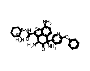 Nc1ccc2c3c(c(C(=O)N[C@@H]4CCCC[C@@H]4N)sc13)C(N)C(=O)C2(N)c1ccc(Oc2ccccc2)nc1